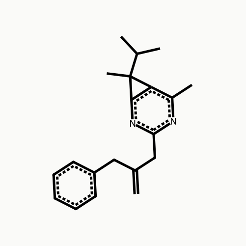 C=C(Cc1ccccc1)Cc1nc(C)c2c(n1)C2(C)C(C)C